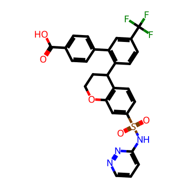 O=C(O)c1ccc(-c2cc(C(F)(F)F)ccc2C2CCOc3cc(S(=O)(=O)Nc4cccnn4)ccc32)cc1